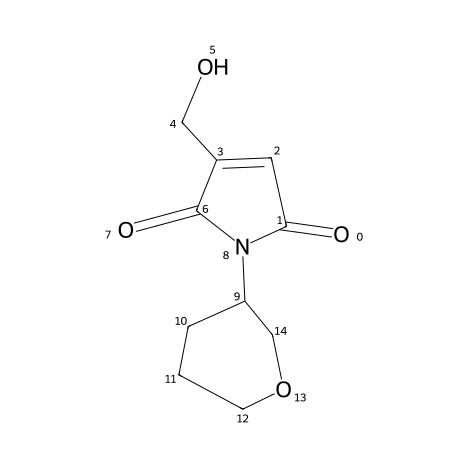 O=C1C=C(CO)C(=O)N1C1CCCOC1